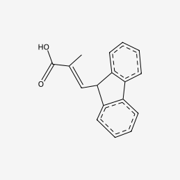 CC(=CC1c2ccccc2-c2ccccc21)C(=O)O